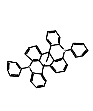 c1ccc(N2c3ccccc3C34CCC5(c6ccccc6N(c6ccccc6)c6cccc3c65)c3cccc2c34)cc1